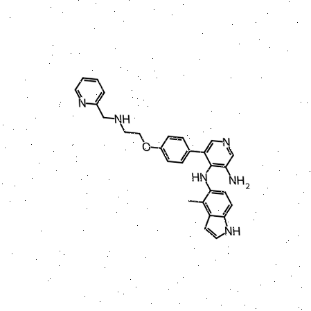 Cc1c(Nc2c(N)cncc2-c2ccc(OCCNCc3ccccn3)cc2)ccc2[nH]ccc12